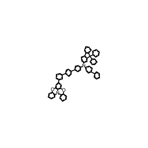 c1ccc(-c2ccc(N(c3ccc(-c4ccc(-c5cccc(-c6cc7c8c(c6)Oc6ccccc6N8c6ccccc6O7)c5)cc4)cc3)c3ccc4c(c3)C(c3ccccc3)(c3ccccc3)c3ccccc3-4)cc2)cc1